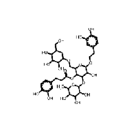 CC1OC(OC2C(O)C(OCCc3ccc(O)c(O)c3)OC(COC3CC(CO)C(O)C(O)C3O)C2OC(=O)CCc2ccc(O)c(O)c2)C(O)C(O)C1O